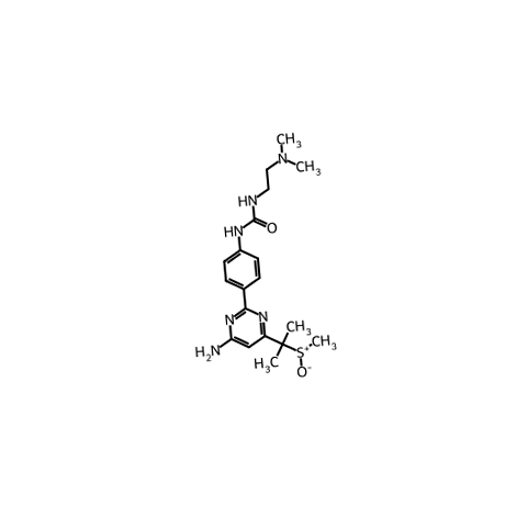 CN(C)CCNC(=O)Nc1ccc(-c2nc(N)cc(C(C)(C)[S+](C)[O-])n2)cc1